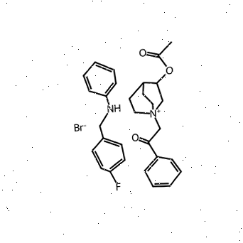 CC(=O)OC1C[N+]2(CC(=O)c3ccccc3)CCC1CC2.Fc1ccc(CNc2ccccc2)cc1.[Br-]